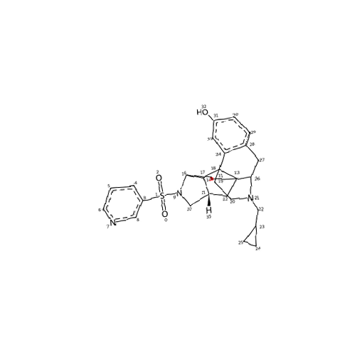 O=S(=O)(c1cccnc1)N1C[C@H]2CC34CCC1C2C31CCN(CC2CC2)C4Cc2ccc(O)cc21